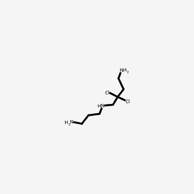 NCCCNCC(Cl)(Cl)CCN